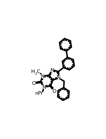 CCCn1c(=O)c2c(nc(-c3cccc(-c4ccccc4)c3)n2Cc2ccccc2)n(C)c1=O